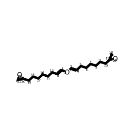 C(=COC=CCCCCCCC1CO1)CCCCCCC1CO1